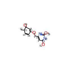 COc1cc(COC2=CC(=O)C(C)C=C2)nc(OC)n1